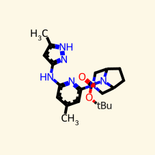 Cc1cc(Nc2cc(C)[nH]n2)nc(N2CC3CCC(C2)N3C(=O)OC(C)(C)C)c1